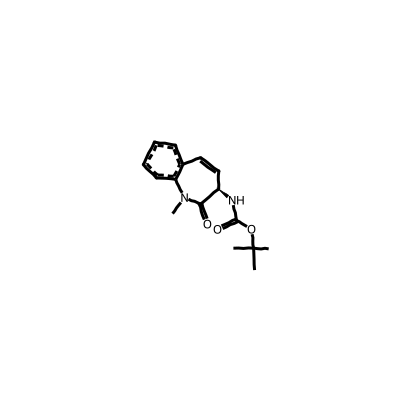 CN1C(=O)[C@H](NC(=O)OC(C)(C)C)C=Cc2ccccc21